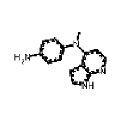 CN(c1ccc(N)cc1)c1ccnc2[nH]ccc12